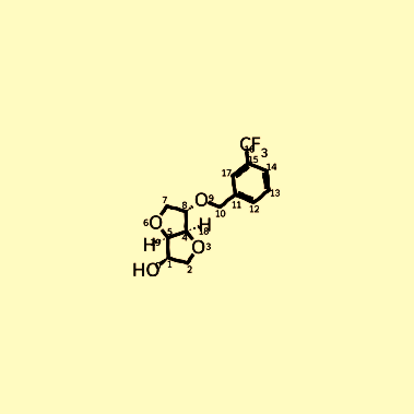 O[C@@H]1CO[C@H]2[C@@H]1OC[C@@H]2OCc1cccc(C(F)(F)F)c1